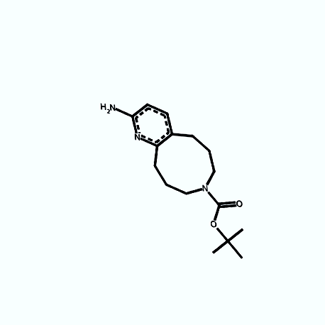 CC(C)(C)OC(=O)N1CCCc2ccc(N)nc2CCC1